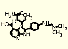 CCC(CC(N)=O)N1c2c(C(=O)O)ccnc2NC1c1ccc(NCCN(C)C)cc1